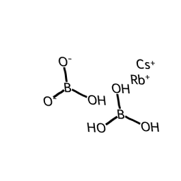 OB(O)O.[Cs+].[O-]B([O-])O.[Rb+]